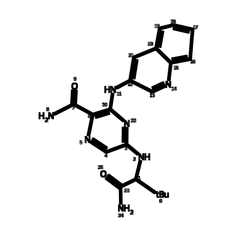 CC(C)(C)C(Nc1cnc(C(N)=O)c(Nc2cnc3ccccc3c2)n1)C(N)=O